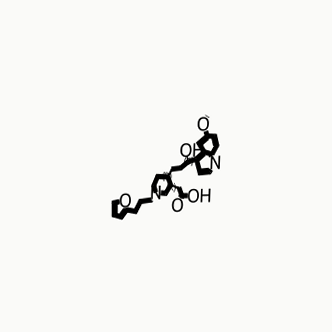 COc1ccc2nccc([C@@H](O)CC[C@@H]3CCN(CCCc4ccco4)C[C@@H]3CC(=O)O)c2c1